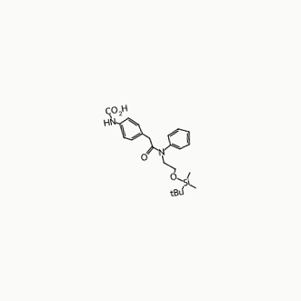 CC(C)(C)[Si](C)(C)OCCN(C(=O)Cc1ccc(NC(=O)O)cc1)c1ccccc1